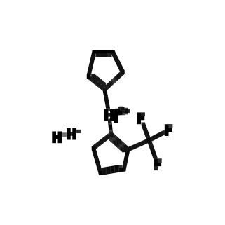 FC(F)(F)C1=[C]([Hf+2][C]2=CC=CC2)CC=C1.[H-].[H-]